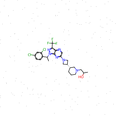 CC(O)CN1CCC[C@H](C2CN(c3cnc4c(C(F)(F)F)nn(C(C)c5ccc(Cl)cc5Cl)c4n3)C2)C1